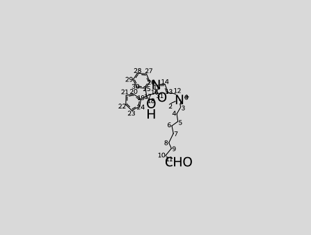 C[N+](C)(CCCCCCCCC=O)Cc1cnc(C(O)(c2ccccc2)c2ccccc2)o1